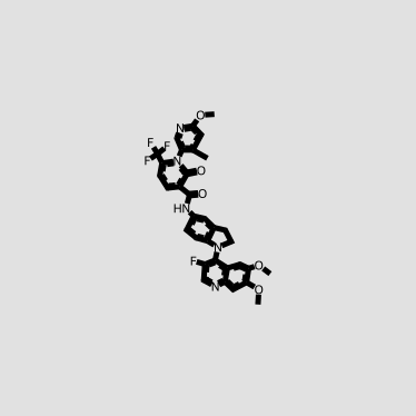 COc1cc(C)c(-n2c(C(F)(F)F)ccc(C(=O)Nc3ccc4c(c3)CCN4c3c(F)cnc4cc(OC)c(OC)cc34)c2=O)cn1